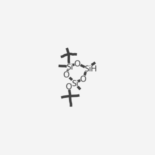 C[SiH]1O[Si](C)(OC(C)(C)C)O[Si](C)(C(C)(C)C)O1